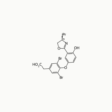 CC(C)[C@@H]1COC(c2cc(Oc3c(Br)cc(CC(=O)O)cc3Br)ccc2O)=N1